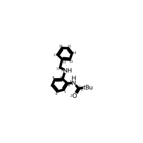 CC(C)(C)C(=O)Nc1ccccc1NCc1ccccc1